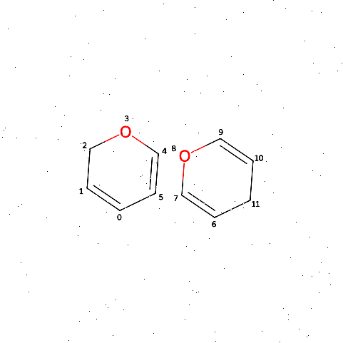 C1=CCOC=C1.C1=COC=CC1